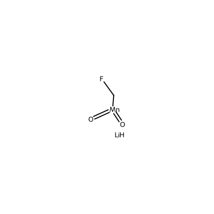 [LiH].[O]=[Mn](=[O])[CH2]F